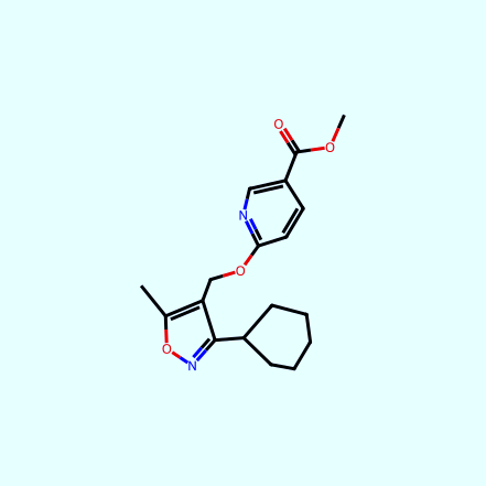 COC(=O)c1ccc(OCc2c(C3CCCCC3)noc2C)nc1